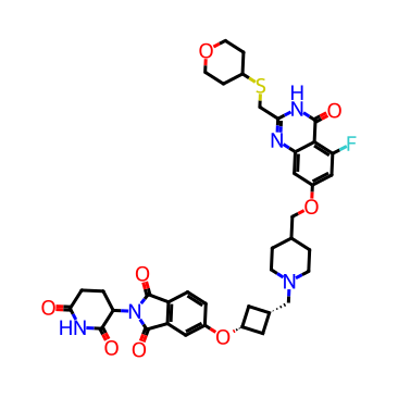 O=C1CCC(N2C(=O)c3ccc(O[C@H]4C[C@@H](CN5CCC(COc6cc(F)c7c(=O)[nH]c(CSC8CCOCC8)nc7c6)CC5)C4)cc3C2=O)C(=O)N1